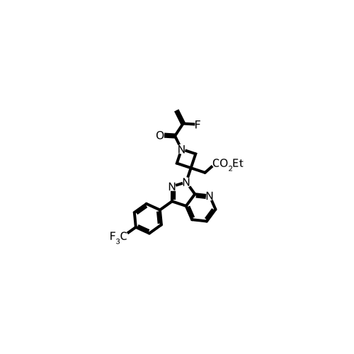 C=C(F)C(=O)N1CC(CC(=O)OCC)(n2nc(-c3ccc(C(F)(F)F)cc3)c3cccnc32)C1